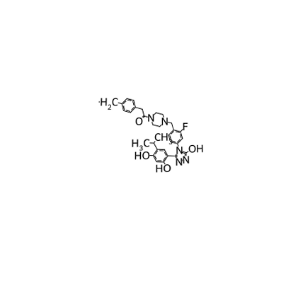 [CH2]c1ccc(CC(=O)N2CCN(Cc3ccc(-n4c(O)nnc4-c4cc(C(C)C)c(O)cc4O)cc3F)CC2)cc1